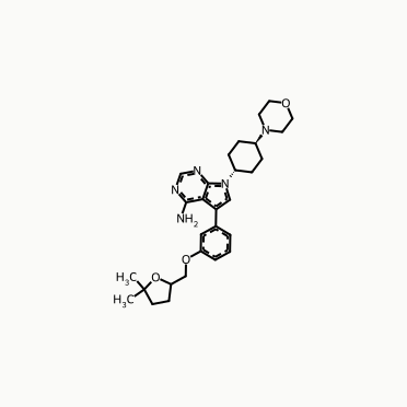 CC1(C)CCC(COc2cccc(-c3cn([C@H]4CC[C@H](N5CCOCC5)CC4)c4ncnc(N)c34)c2)O1